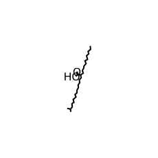 CCCCCCCCCCCCC(CCCCCCCCCCCCCC(C)C)C(=O)O